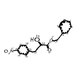 O=C(OCc1ccccc1)C(O)Cc1ccc([N+](=O)[O-])cc1